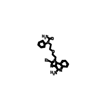 CCc1nc2c(N)nc3ccccc3c2n1CCOCCN(C(N)=O)c1ccccc1